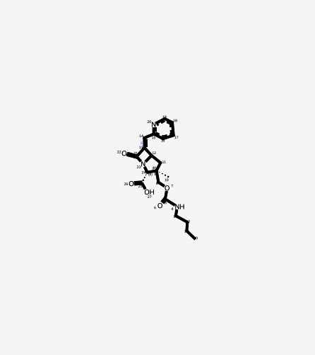 CCCCNC(=O)OC[C@]1(C)CC2/C(=C\c3ccccn3)C(=O)N2[C@H]1C(=O)O